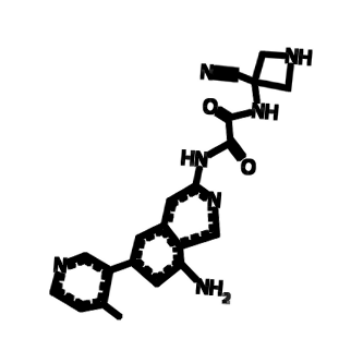 Cc1ccncc1-c1cc(N)c2cnc(NC(=O)C(=O)NC3(C#N)CNC3)cc2c1